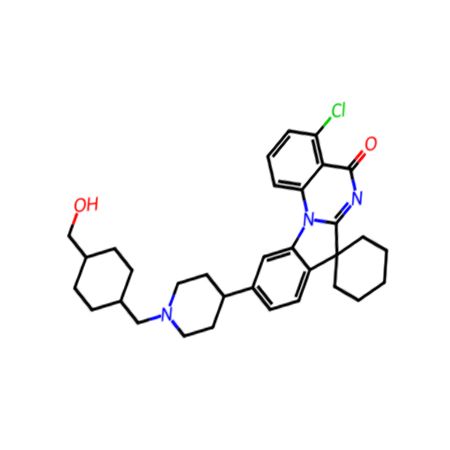 O=c1nc2n(c3cccc(Cl)c13)-c1cc(C3CCN(CC4CCC(CO)CC4)CC3)ccc1C21CCCCC1